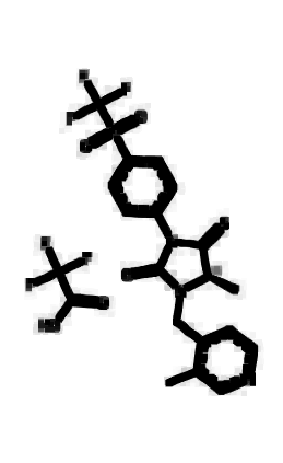 Cc1cnccc1CN1C(=O)N(c2ccc(S(=O)(=O)C(F)(F)F)cc2)C(=S)[C@H]1C.O=C(O)C(F)(F)F